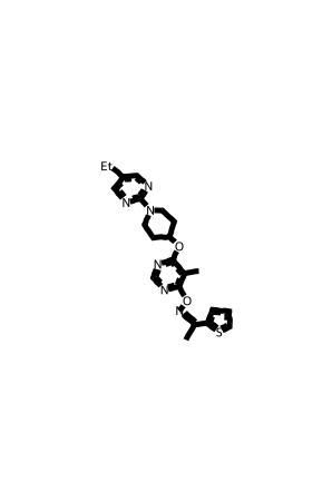 CCc1cnc(N2CCC(Oc3ncnc(ON=C(C)c4cccs4)c3C)CC2)nc1